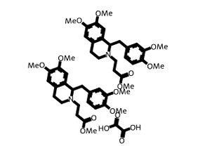 COC(=O)CCN1CCc2cc(OC)c(OC)cc2C1Cc1ccc(OC)c(OC)c1.COC(=O)CCN1CCc2cc(OC)c(OC)cc2C1Cc1ccc(OC)c(OC)c1.O=C(O)C(=O)O